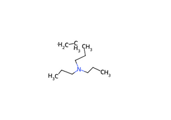 CCCN(CCC)CCC.[CH2]C